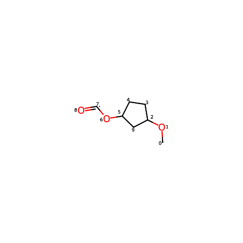 COC1CCC(O[C]=O)C1